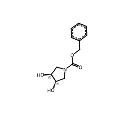 O=C(OCc1ccccc1)N1C[C@@H](O)[C@@H](O)C1